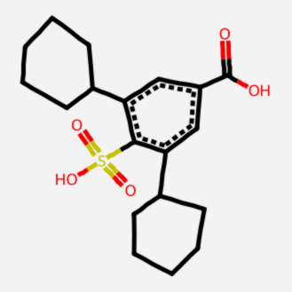 O=C(O)c1cc(C2CCCCC2)c(S(=O)(=O)O)c(C2CCCCC2)c1